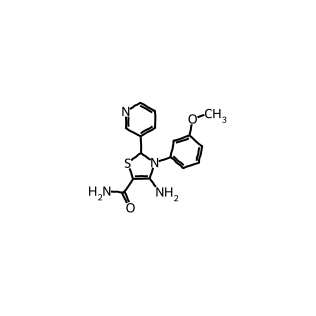 COc1cccc(N2C(N)=C(C(N)=O)SC2c2cccnc2)c1